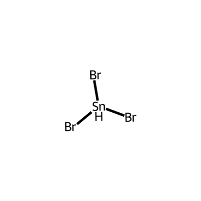 [Br][SnH]([Br])[Br]